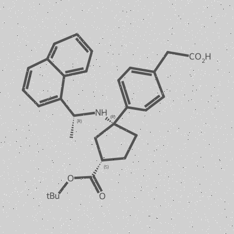 C[C@@H](N[C@]1(c2ccc(CC(=O)O)cc2)CC[C@H](C(=O)OC(C)(C)C)C1)c1cccc2ccccc12